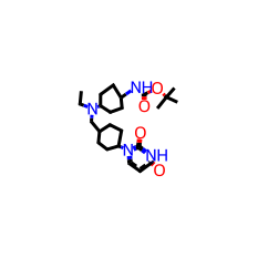 CCN(CC1CCC(n2ccc(=O)[nH]c2=O)CC1)C1CCC(NC(=O)OC(C)(C)C)CC1